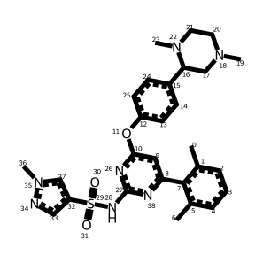 Cc1cccc(C)c1-c1cc(Oc2ccc(C3CN(C)CCN3C)cc2)nc(NS(=O)(=O)c2cnn(C)c2)n1